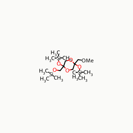 COCC1(O[Si](C)(C)C)COC(CO[Si](C)(C)C)(O[Si](C)(C)C)CO1